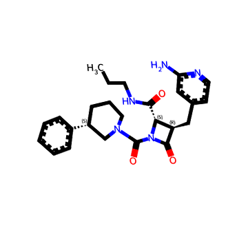 CCCNC(=O)[C@@H]1[C@@H](Cc2ccnc(N)c2)C(=O)N1C(=O)N1CCC[C@@H](c2ccccc2)C1